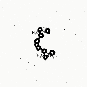 CC12CCCC1(C)N(c1ccccc1)c1ccc(-c3ccc4c(c3)-c3cc(-c5ccc6c(c5)C5(C)CCCC5(C)N6c5ccccc5)ccc3C4)cc12